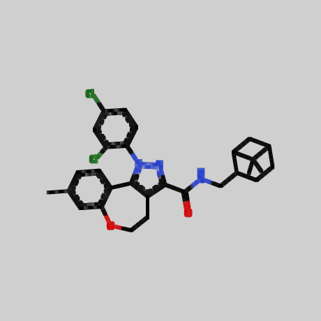 Cc1ccc2c(c1)OCCc1c(C(=O)NCC3CCC4CC3C4(C)C)nn(-c3ccc(Cl)cc3Cl)c1-2